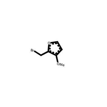 COc1ccoc1CBr